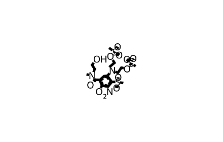 CN(CCO)C(=O)c1cc(N(CCOS(C)(=O)=O)CCOS(C)(=O)=O)c(S(C)(=O)=O)cc1[N+](=O)[O-]